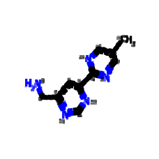 Cc1cnc(-c2cc(CN)ncn2)nc1